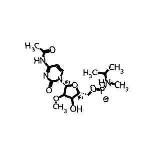 COC1C(O)[C@@H](CO[PH](=O)N(C)C(C)C)O[C@H]1n1ccc(NC(C)=O)nc1=O